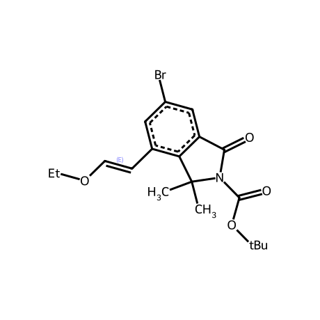 CCO/C=C/c1cc(Br)cc2c1C(C)(C)N(C(=O)OC(C)(C)C)C2=O